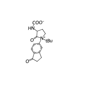 CC(C)(C)[N+]1(c2ccc3c(c2)CCC3=O)CCC(NC(=O)[O-])C1=O